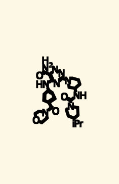 CC(C)C1CCN(C(=O)NC2CCCN(c3nnc(C(N)=O)c(Nc4ccc(C(=O)N5CCOCC5)cc4)n3)C2)CC1